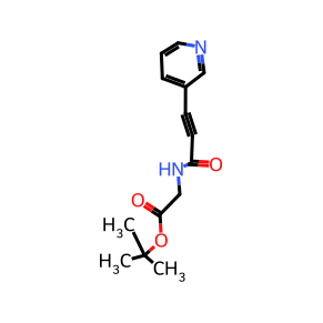 CC(C)(C)OC(=O)CNC(=O)C#Cc1cccnc1